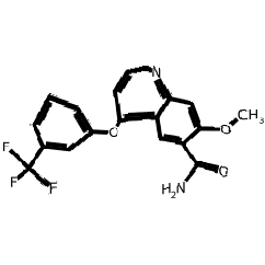 COc1cc2nccc(Oc3cc[c]c(C(F)(F)F)c3)c2cc1C(N)=O